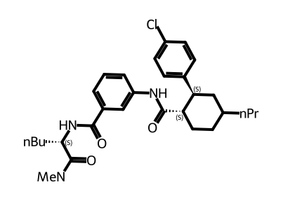 CCCC[C@H](NC(=O)c1cccc(NC(=O)[C@H]2CCC(CCC)C[C@@H]2c2ccc(Cl)cc2)c1)C(=O)NC